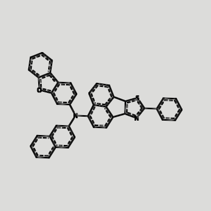 c1ccc(-c2nc3c(s2)-c2cccc4c(N(c5ccc6ccccc6c5)c5ccc6c(c5)oc5ccccc56)ccc-3c24)cc1